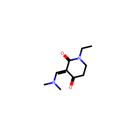 CCN1CCC(=O)/C(=C\N(C)C)C1=O